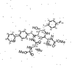 COC(=O)N[C@H](C(=O)N[C@@H](Cc1ccc(F)cc1)[C@@H](O)CN(Cc1ccc(-c2ccccn2)cc1)NC(=O)[C@@H](NC(=O)OC)C(C)(C)C)C(C)(C)C